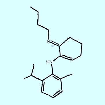 CCCC/N=C1\CCCC=C1Nc1c(C)cccc1C(C)C